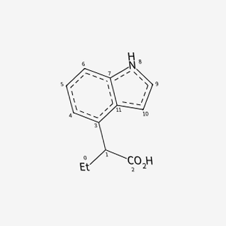 CCC(C(=O)O)c1cccc2[nH]ccc12